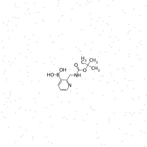 CC(C)(C)OC(=O)NCc1ncccc1B(O)O